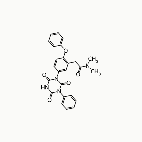 CN(C)C(=O)Cc1cc(-n2c(=O)[nH]c(=O)n(-c3ccccc3)c2=O)ccc1Oc1ccccc1